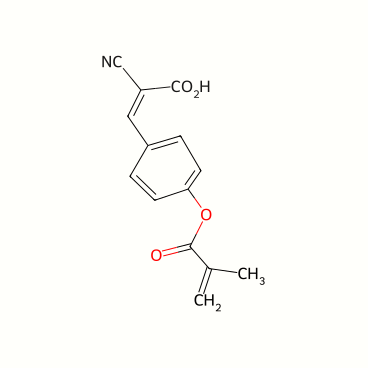 C=C(C)C(=O)Oc1ccc(C=C(C#N)C(=O)O)cc1